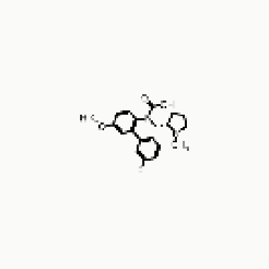 COc1ccc(N(C[C@@H]2CCCN2C)C(=O)O)c(-c2cccc(F)c2)c1